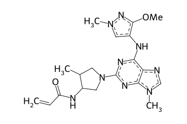 C=CC(=O)NC1CN(c2nc(Nc3cn(C)nc3OC)c3ncn(C)c3n2)CC1C